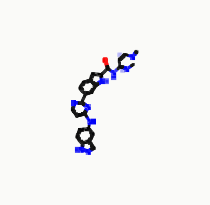 C=N/C=C\C(=N/C)NC(=O)c1cc2ccc(-c3nccc(Nc4ccc5[nH]ncc5c4)n3)cc2[nH]1